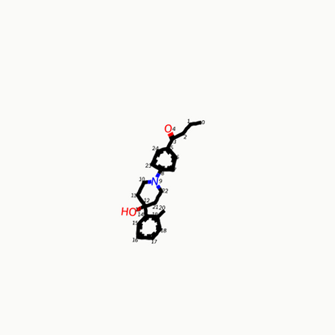 CCCC(=O)c1ccc(N2CCC(O)(c3ccccc3C)CC2)cc1